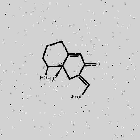 CCCC(C)C=C1C[C@@]2(C)C(=CC1=O)CCC[C@@H]2O